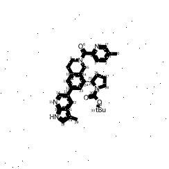 Cc1ccc(C(=O)N2CCc3cc(-c4cnc5[nH]cc(C)c5c4)cc([C@@H]4CCCN4C(=O)OC(C)(C)C)c3C2)nc1